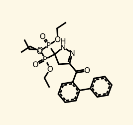 CCOP(=O)(OCC)C1(P(=O)(OCC)OCC)CC(C(=O)c2ccccc2-c2ccccc2)=NN1